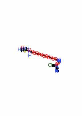 Cc1cc(C2CCC(N3C[C@H](COCc4cn(CCOCCOCCOCCOCCOCCOCCOCCOCCOCCOCCOCCNC(=O)CCCC[C@@H]5SC[C@@H]6NC(=O)N[C@@H]65)nn4)OC[C@@H]3Cc3ccc(Cl)cc3)CC2)nn1C